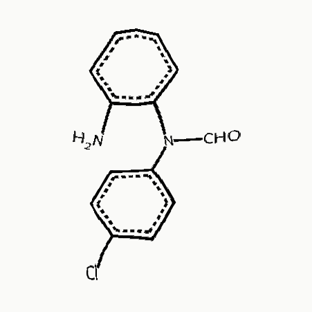 Nc1ccccc1N(C=O)c1ccc(Cl)cc1